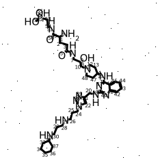 NC(CCC(=O)NCC(O)CN1CCC(Nc2nc(NCc3cn(CCCNCCCNC4CCCCC4)nn3)nc3ccccc23)CC1)C(=O)NCCP(O)O